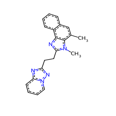 Cc1cc2ccccc2c2nc(CCc3nc4ccccn4n3)n(C)c12